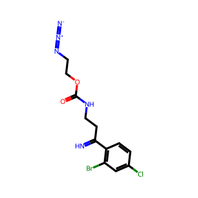 [N-]=[N+]=NCCOC(=O)NCCC(=N)c1ccc(Cl)cc1Br